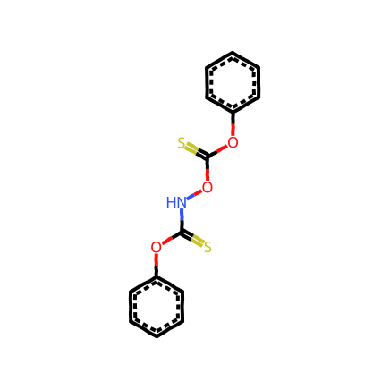 S=C(NOC(=S)Oc1ccccc1)Oc1ccccc1